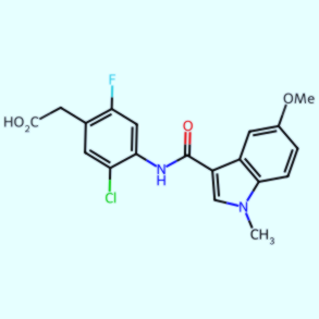 COc1ccc2c(c1)c(C(=O)Nc1cc(F)c(CC(=O)O)cc1Cl)cn2C